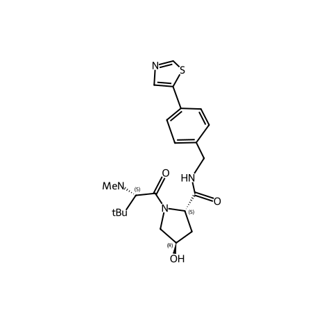 CN[C@H](C(=O)N1C[C@H](O)C[C@H]1C(=O)NCc1ccc(-c2cncs2)cc1)C(C)(C)C